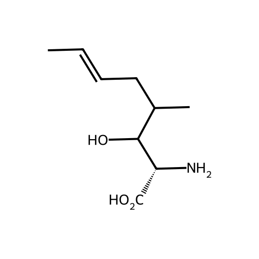 C/C=C/CC(C)C(O)[C@H](N)C(=O)O